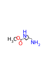 COC(=O)c1cc(CN)c[nH]1